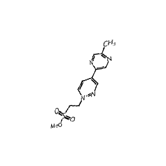 COS(=O)(=O)CC[n+]1ccc(-c2cnc(C)cn2)cn1